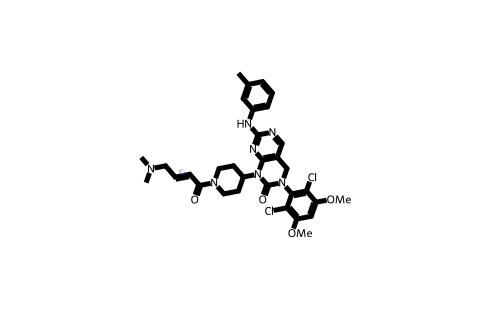 COc1cc(OC)c(Cl)c(N2Cc3cnc(Nc4cccc(C)c4)nc3N(C3CCN(C(=O)/C=C/CN(C)C)CC3)C2=O)c1Cl